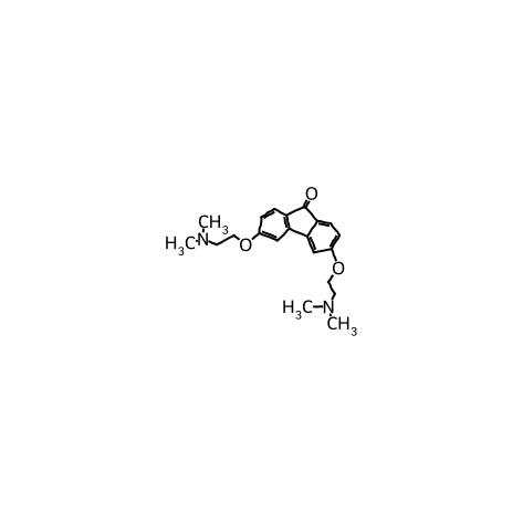 CN(C)CCOc1ccc2c(c1)-c1cc(OCCN(C)C)ccc1C2=O